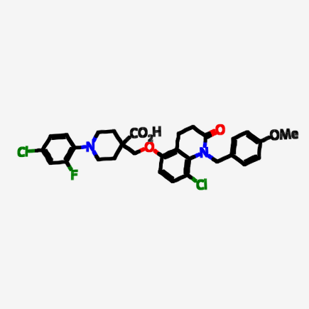 COc1ccc(CN2C(=O)CCc3c(OCC4(C(=O)O)CCN(c5ccc(Cl)cc5F)CC4)ccc(Cl)c32)cc1